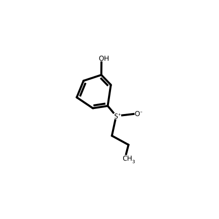 CCC[S+]([O-])c1cccc(O)c1